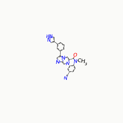 CN(C(=O)c1cn2c(-c3cccc(-c4cn[nH]c4)c3)cnc2cn1)c1ccc(C#N)cc1